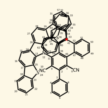 N#Cc1c(-c2ccccc2)c(C#N)c(-n2c3c(ccc4c5ccccc5sc43)c3ccc4c5ccccc5sc4c32)c(-c2ccccc2)c1-c1ccccc1-n1c2ccccc2c2ccccc21